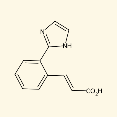 O=C(O)C=Cc1ccccc1-c1ncc[nH]1